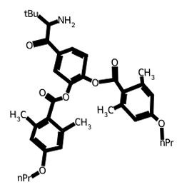 CCCOc1cc(C)c(C(=O)Oc2ccc(C(=O)C(N)C(C)(C)C)cc2OC(=O)c2c(C)cc(OCCC)cc2C)c(C)c1